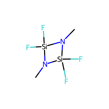 CN1[Si](F)(F)N(C)[Si]1(F)F